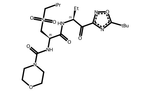 CC[C@H](NC(=O)[C@H](CS(=O)(=O)CC(C)C)NC(=O)N1CCOCC1)C(=O)c1noc(C(C)(C)C)n1